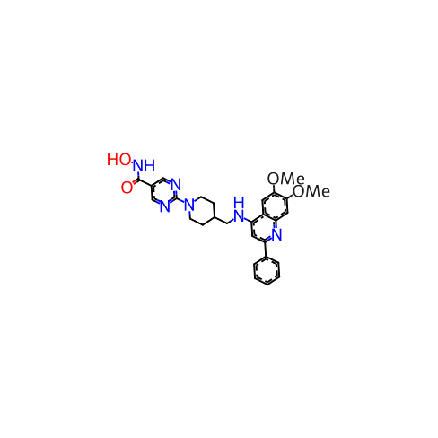 COc1cc2nc(-c3ccccc3)cc(NCC3CCN(c4ncc(C(=O)NO)cn4)CC3)c2cc1OC